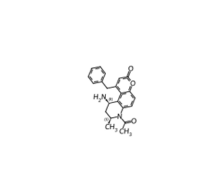 CC(=O)N1c2ccc3oc(=O)cc(Cc4ccccc4)c3c2[C@H](N)C[C@@H]1C